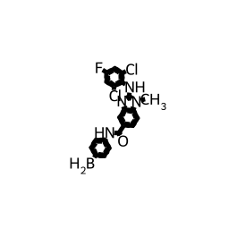 Bc1ccc(NC(=O)c2ccc3c(c2)nc(Nc2c(Cl)cc(F)cc2Cl)n3C)cc1